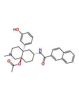 CC(=O)O[C@]12CC[C@@H](NC(=O)c3ccc4ccccc4c3)C[C@]1(c1cccc(O)c1)CCN(C)C2